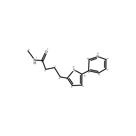 CNC(=O)CCCc1ccc(-c2cccnc2)s1